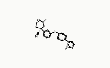 C[C@H]1C[C@@](C#N)(c2cccc(Sc3ccc(-c4ccnn4C)cc3)c2)CCO1